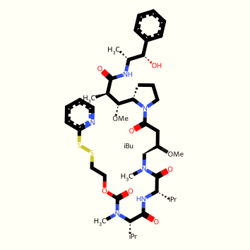 CC[C@H](C)[C@@H](C(CC(=O)N1CCC[C@H]1[C@H](OC)[C@@H](C)C(=O)N[C@H](C)[C@@H](O)c1ccccc1)OC)N(C)C(=O)[C@@H](NC(=O)[C@H](C(C)C)N(C)C(=O)OCCSSc1ccccn1)C(C)C